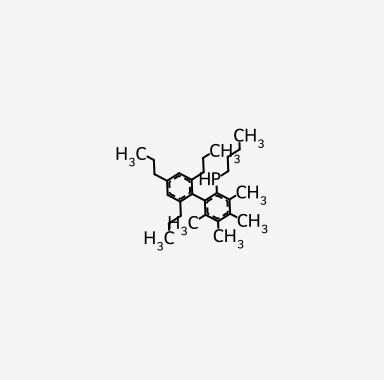 CCCCPc1c(C)c(C)c(C)c(C)c1-c1c(CCC)cc(CCC)cc1CCC